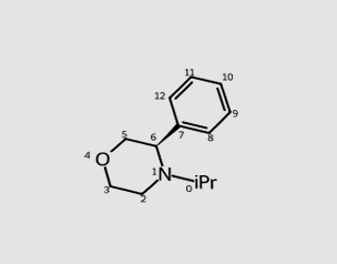 CC(C)N1CCOC[C@H]1c1ccccc1